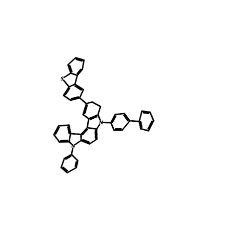 C1=C(c2ccc3sc4ccccc4c3c2)CCc2c1c1c3c4ccccc4n(-c4ccccc4)c3ccc1n2-c1ccc(-c2ccccc2)cc1